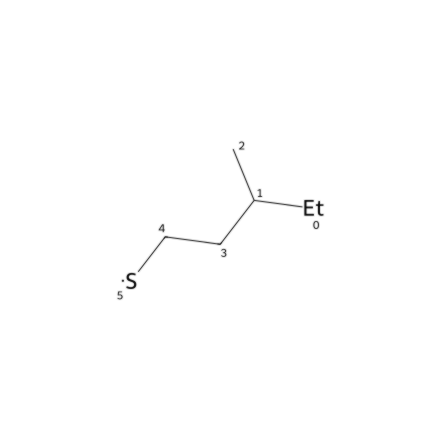 [CH2]CC(C)CC[S]